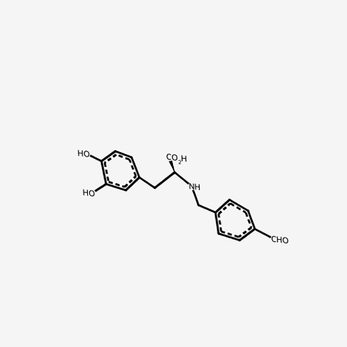 O=Cc1ccc(CN[C@@H](Cc2ccc(O)c(O)c2)C(=O)O)cc1